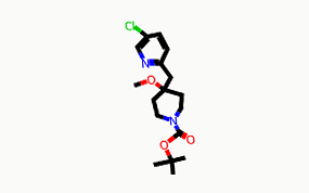 COC1(Cc2ccc(Cl)cn2)CCN(C(=O)OC(C)(C)C)CC1